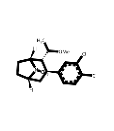 COC(C)[C@@H]1[C@@H](c2ccc(Cl)c(Cl)c2)C[C@@H]2CC[C@H]1N2C